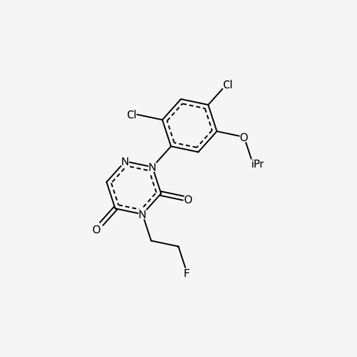 CC(C)Oc1cc(-n2ncc(=O)n(CCF)c2=O)c(Cl)cc1Cl